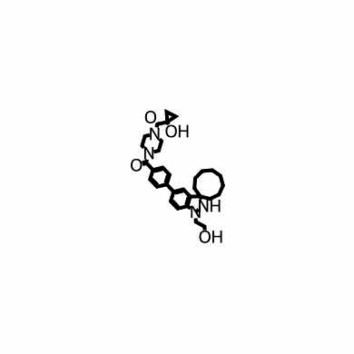 O=C(c1ccc(-c2ccc3c(c2)C2(CCCCCCCC2)NN3CCO)cc1)N1CCN(C(=O)C2(O)CC2)CC1